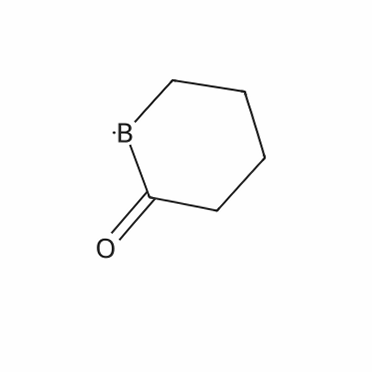 O=C1[B]CCCC1